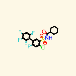 O=C(NS(=O)(=O)c1cc(-c2c(F)cc(F)c(F)c2F)c(F)cc1Cl)C1CCCCC1